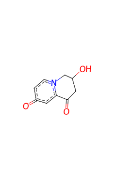 O=C1CC(O)Cn2ccc(=O)cc21